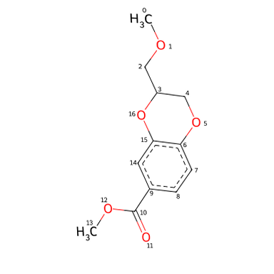 COCC1COc2ccc(C(=O)OC)cc2O1